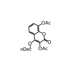 CCCCCCCCCCOc1c(OC(C)=O)c(=O)oc2c(OC(C)=O)cccc12